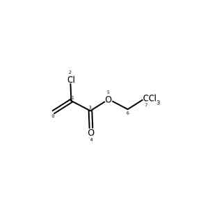 C=C(Cl)C(=O)OCC(Cl)(Cl)Cl